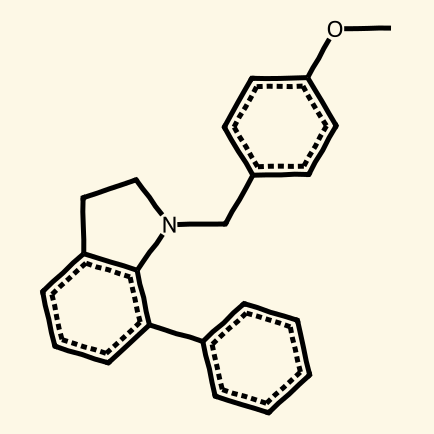 COc1ccc(CN2CCc3cccc(-c4ccccc4)c32)cc1